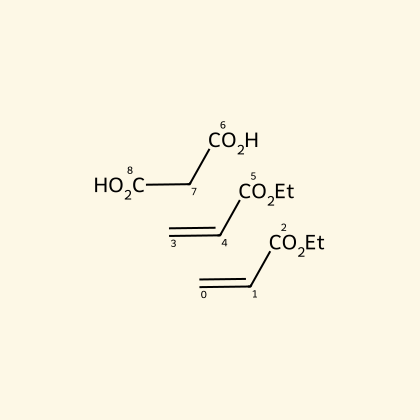 C=CC(=O)OCC.C=CC(=O)OCC.O=C(O)CC(=O)O